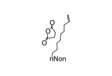 C=CCCCCCCCCCCCCCCCC.O=C1CCC(=O)O1